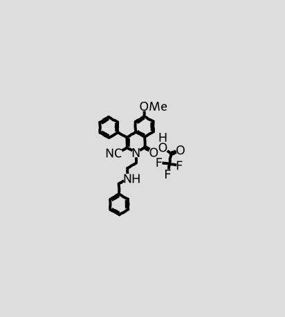 COc1ccc2c(=O)n(CCNCc3ccccc3)c(C#N)c(-c3ccccc3)c2c1.O=C(O)C(F)(F)F